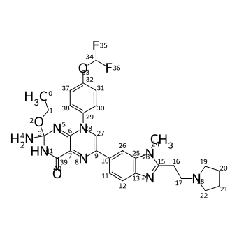 CCOC1(N)N=C2C(=NC(c3ccc4nc(CCN5CCCC5)n(C)c4c3)=CN2c2ccc(OC(F)F)cc2)C(=O)N1